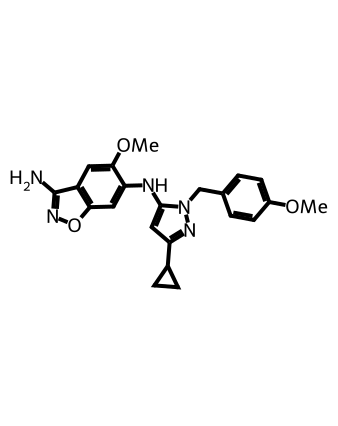 COc1ccc(Cn2nc(C3CC3)cc2Nc2cc3onc(N)c3cc2OC)cc1